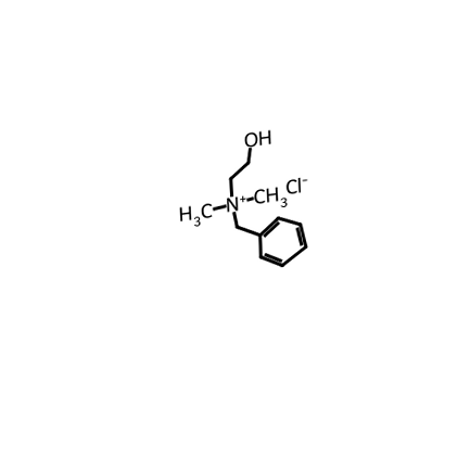 C[N+](C)(CCO)Cc1ccccc1.[Cl-]